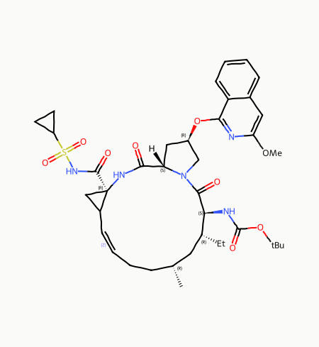 CC[C@@H]1C[C@H](C)CC/C=C\C2C[C@@]2(C(=O)NS(=O)(=O)C2CC2)NC(=O)[C@@H]2C[C@@H](Oc3nc(OC)cc4ccccc34)CN2C(=O)[C@H]1NC(=O)OC(C)(C)C